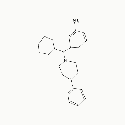 Nc1cccc(C(C2CCCCC2)N2CCN(c3ccccc3)CC2)c1